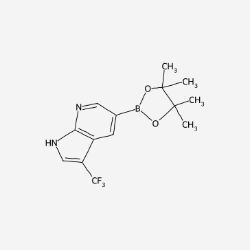 CC1(C)OB(c2cnc3[nH]cc(C(F)(F)F)c3c2)OC1(C)C